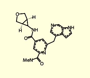 CNC(=O)c1cc(C(=O)NC2[C@H]3COC[C@@H]23)cc(Cc2cncc3[nH]ccc23)n1